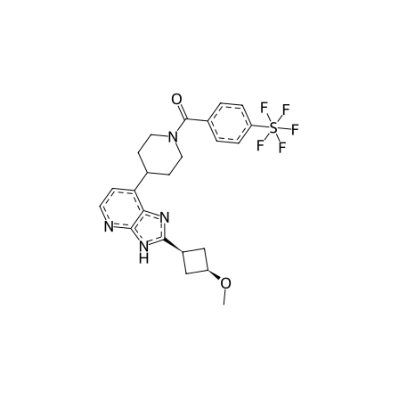 CO[C@H]1C[C@@H](c2nc3c(C4CCN(C(=O)c5ccc(S(F)(F)(F)(F)F)cc5)CC4)ccnc3[nH]2)C1